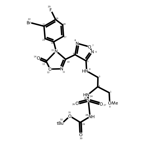 COCC(CNc1nonc1-c1noc(=O)n1-c1ccc(F)c(Br)c1)NS(=O)(=O)NC(=O)OC(C)(C)C